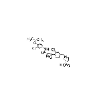 CC(C)Oc1ccc(NC(=O)c2cc(-c3ccc(CN4CCC(C(=O)O)C4)cc3Cl)on2)cc1Cl